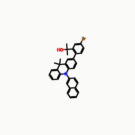 CC(C)(O)c1cc(Br)ccc1-c1ccc2c(c1)C(C)(C)c1ccccc1N2c1ccc2ccccc2c1